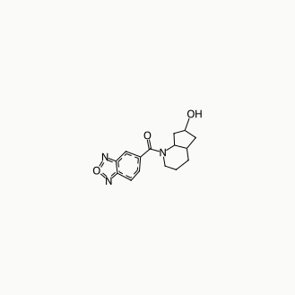 O=C(c1ccc2nonc2c1)N1CCCC2CC(O)CC21